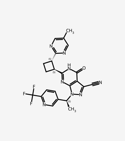 Cc1cnc([C@H]2CC[C@@H]2c2nc3c(c(C#N)nn3[C@@H](C)c3ccc(C(F)(F)F)nc3)c(=O)[nH]2)nc1